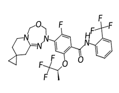 C[C@H](Oc1cc(N2COCN3CCC4(CC4)CC3=N2)c(F)cc1C(=O)Nc1ccccc1C(F)(F)F)C(F)(F)F